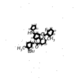 Cc1ccc(NC(=O)C2CCCN(C(=O)c3c(C)cccc3F)C2c2ccc(NC3CCCC3)cc2)cc1C(C)(C)C